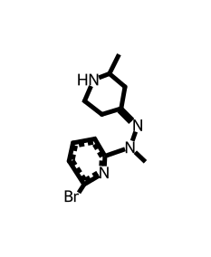 CC1CC(=NN(C)c2cccc(Br)n2)CCN1